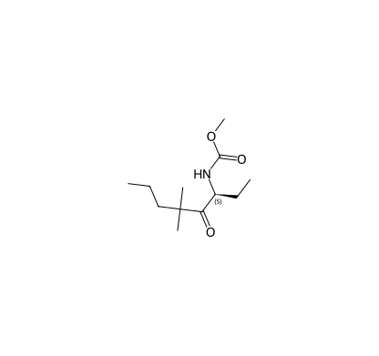 CCCC(C)(C)C(=O)[C@H](CC)NC(=O)OC